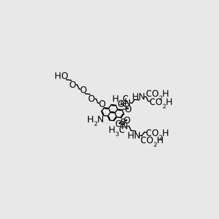 CN(CCCNC(CC(=O)O)C(=O)O)S(=O)(=O)c1cc(S(=O)(=O)N(C)CCCNC(CC(=O)O)C(=O)O)c2ccc3c(OCCOCCOCCOCCO)cc(N)c4ccc1c2c43